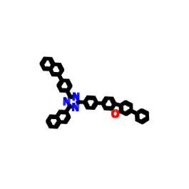 c1ccc(-c2ccc3c(c2)oc2cc(-c4ccc(-c5nc(-c6ccc(-c7ccc8ccccc8c7)cc6)nc(-c6ccc7ccccc7c6)n5)cc4)ccc23)cc1